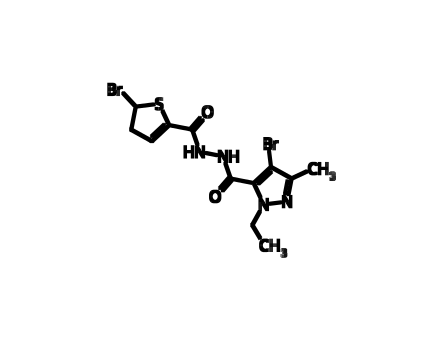 CCn1nc(C)c(Br)c1C(=O)NNC(=O)C1=CCC(Br)S1